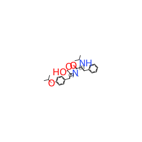 CC(C)N[C@@H](Cc1ccccc1)C(=O)N(C)[C@@H](Cc1ccc(OC(C)C)cc1)C(=O)O